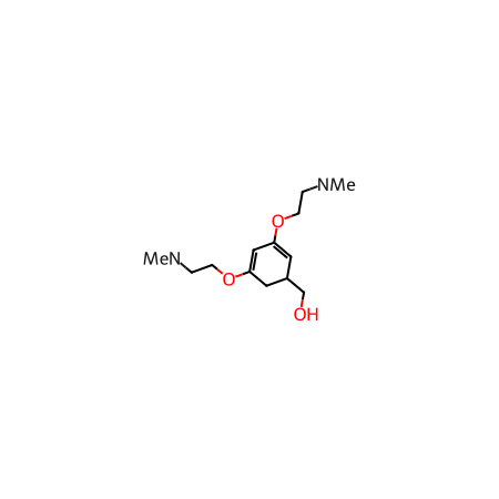 CNCCOC1=CC(CO)CC(OCCNC)=C1